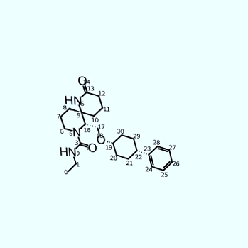 CCNC(=O)N1CCC[C@@]2(CCCC(=O)N2)[C@@H]1CO[C@H]1CC[C@@H](c2ccccc2)CC1